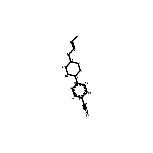 CC=CCC1CCC(c2ccc(C#N)cc2)CC1